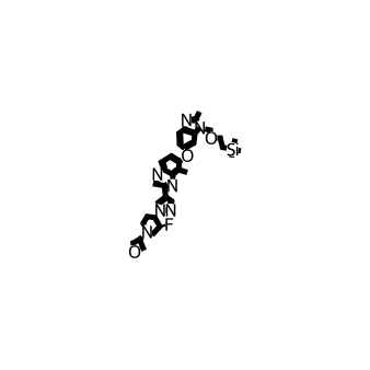 Cc1c(Oc2ccc3nc(C)n(COCC[Si](C)(C)C)c3c2)ccc2ncc(-c3cnn([C@H]4CCN(C5COC5)C[C@@H]4F)c3)nc12